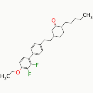 CCCCCC1CCC(CCc2ccc(-c3ccc(OCC)c(F)c3F)cc2)CC1=O